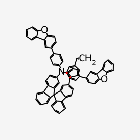 C=Cc1ccc(-c2ccc3c(c2)C2(c4ccccc4-3)c3ccccc3-c3ccc(N(c4ccc(-c5ccc6oc7ccccc7c6c5)cc4)c4ccc(-c5ccc6oc7ccccc7c6c5)cc4)cc32)cc1